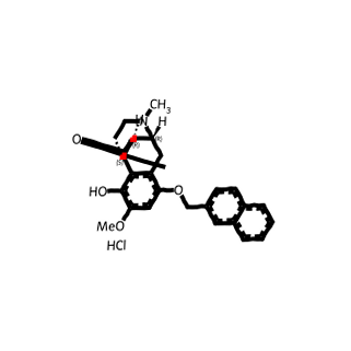 COc1cc(OCc2ccc3ccccc3c2)c2c(c1O)[C@]13CCN(C)[C@H](C2)[C@@H]1CCC(=O)C3.Cl